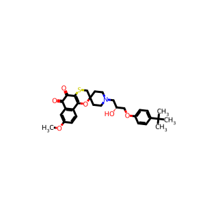 COc1ccc2c(c1)C(=O)C(=O)C1=C2OC2(CCN(C[C@@H](O)COc3ccc(C(C)(C)C)cc3)CC2)CS1